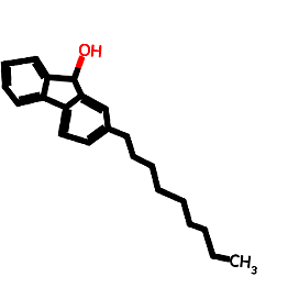 CCCCCCCCCc1ccc2c(c1)C(O)c1ccccc1-2